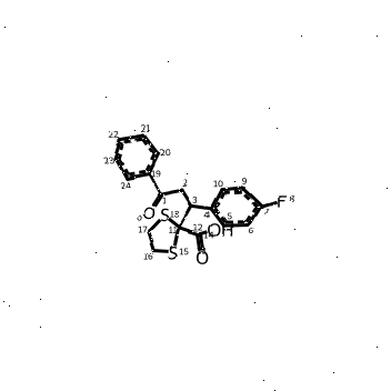 O=C(CC(c1ccc(F)cc1)C1(C(=O)O)SCCS1)c1ccccc1